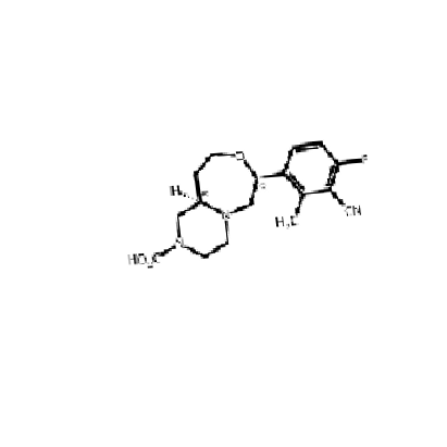 Cc1c([C@H]2CN3CCN(C(=O)O)C[C@H]3CCO2)ccc(F)c1C#N